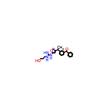 CC(c1cccc(C(=O)c2ccccc2)c1)c1cc(NC(=N)NCCCO)on1